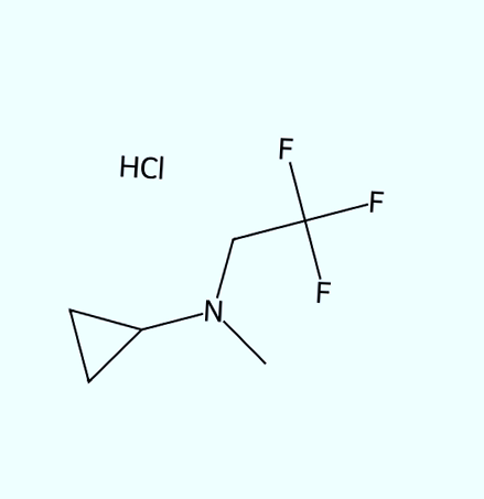 CN(CC(F)(F)F)C1CC1.Cl